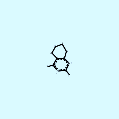 Cc1nc(C)c2c(n1)CCCC2